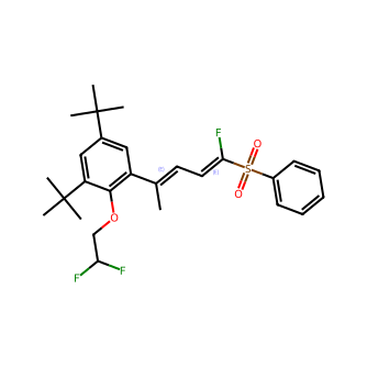 C/C(=C\C=C(/F)S(=O)(=O)c1ccccc1)c1cc(C(C)(C)C)cc(C(C)(C)C)c1OCC(F)F